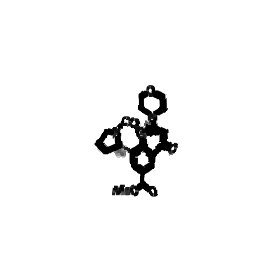 COC(=O)c1cc([C@@H]2CCCN2C(=O)O)c2oc(N3CCOCC3)cc(=O)c2c1